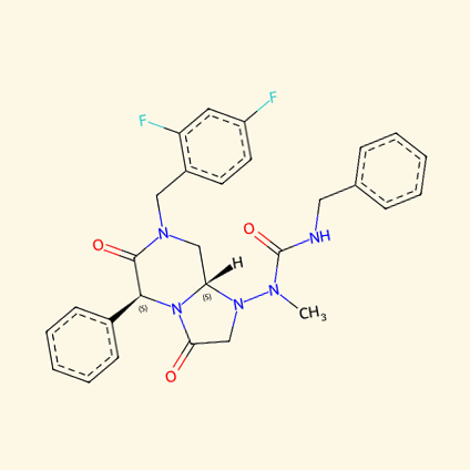 CN(C(=O)NCc1ccccc1)N1CC(=O)N2[C@@H](c3ccccc3)C(=O)N(Cc3ccc(F)cc3F)C[C@@H]21